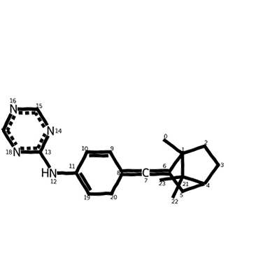 CC12CCC(CC1=C=C1C=CC(Nc3ncncn3)=CC1)C2(C)C